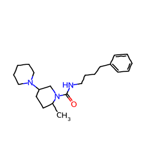 CC1CCC(N2CCCCC2)CN1C(=O)NCCCCc1ccccc1